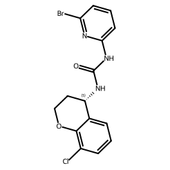 O=C(Nc1cccc(Br)n1)N[C@H]1CCOc2c(Cl)cccc21